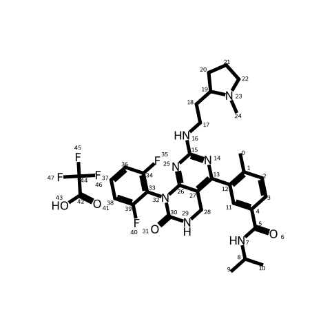 Cc1ccc(C(=O)NC(C)C)cc1-c1nc(NCCC2CCCN2C)nc2c1CNC(=O)N2c1c(F)cccc1F.O=C(O)C(F)(F)F